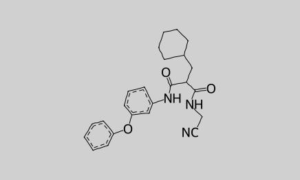 N#CCNC(=O)C(CC1CCCCC1)C(=O)Nc1cccc(Oc2ccccc2)c1